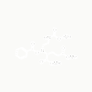 COC(=O)CCC(C(=O)OC)N(CCNC(=O)OC(C)(C)C)OC(=O)c1ccccc1